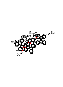 CCCCCCCCOc1ccc(C2(c3ccc(OCCCCCCCC)cc3)c3cc(C)ccc3-c3ccc(-c4ccc5c(c4)C(c4ccc6c(c4)C(c4ccc(OCC(C)CC)cc4)(c4ccc(OCC(C)CC)cc4)c4ccccc4-6)(c4ccc6c(c4)C(c4ccc(OCC(C)CC)cc4)(c4ccc(OCC(C)CC)cc4)c4ccccc4-6)c4cc(C)ccc4-5)cc32)cc1